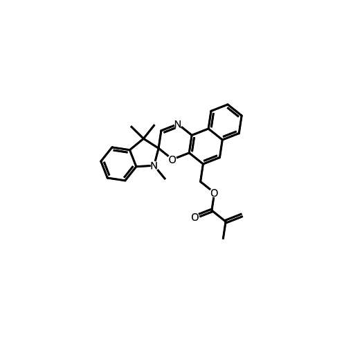 C=C(C)C(=O)OCc1cc2ccccc2c2c1OC1(C=N2)N(C)c2ccccc2C1(C)C